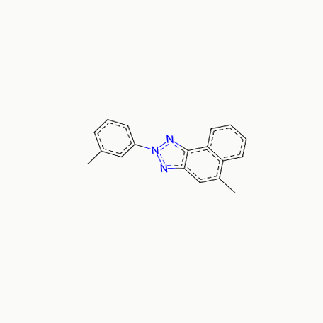 Cc1cccc(-n2nc3cc(C)c4ccccc4c3n2)c1